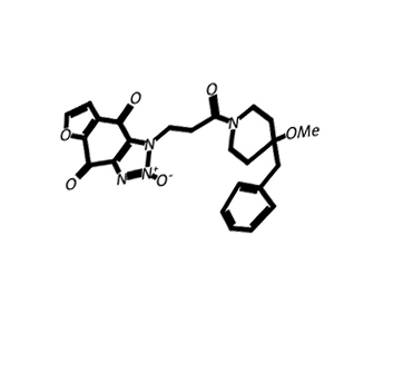 COC1(Cc2ccccc2)CCN(C(=O)CCn2c3c(n[n+]2[O-])C(=O)c2occc2C3=O)CC1